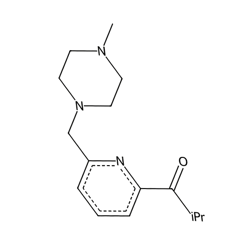 CC(C)C(=O)c1cccc(CN2CCN(C)CC2)n1